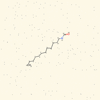 CCCCCCCCCCCC[N]C=O